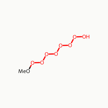 COOOOOOOOO